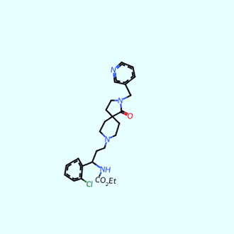 CCOC(=O)NC(CCN1CCC2(CC1)CCN(Cc1cccnc1)C2=O)c1ccccc1Cl